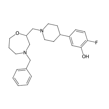 Oc1cc(C2CCN(CC3CN(Cc4ccccc4)CCCO3)CC2)ccc1F